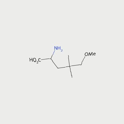 COCC(C)(C)CC(N)C(=O)O